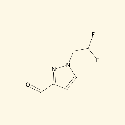 O=Cc1ccn(CC(F)F)n1